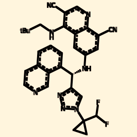 CC(C)(C)CNc1c(C#N)cnc2c(C#N)cc(N[C@H](c3cn(C4(C(F)F)CC4)nn3)c3cccc4ccncc34)cc12